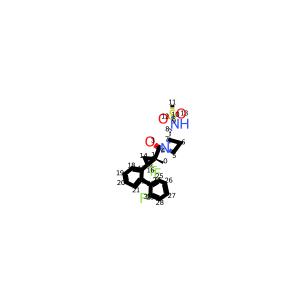 C[C@]1(C(=O)N2CC[C@H]2CNS(C)(=O)=O)C[C@]1(F)c1ccccc1-c1c(F)cccc1F